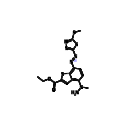 CCOC(=O)c1cc2c(N(C)N)ccc(/N=N/c3nnc(SC)s3)c2s1